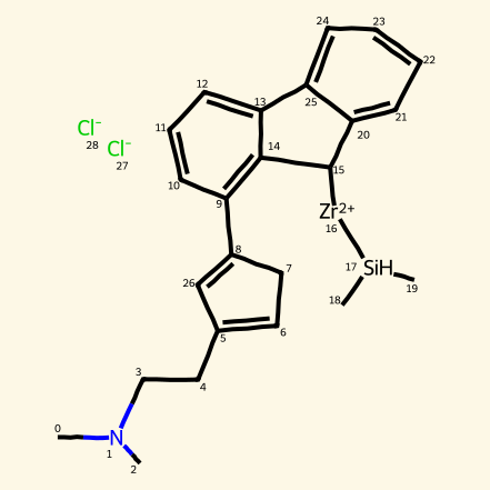 CN(C)CCC1=CCC(c2cccc3c2[CH]([Zr+2][SiH](C)C)c2ccccc2-3)=C1.[Cl-].[Cl-]